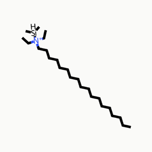 CCCCCCCCCCCCCCCCCC[N+](CC)(CC)[SiH](C)C